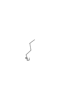 [8Li][CH2]CCC